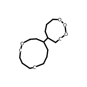 [CH]1CC(C2CCCOOOCC2)CCCCCCCCO1